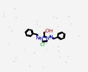 OCc1n(N=Cc2ccccc2)cc[n+]1N=Cc1ccccc1.[Cl-]